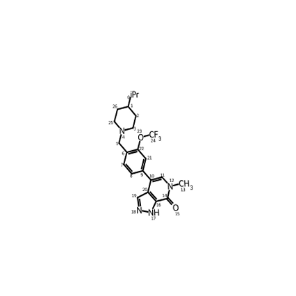 CC(C)C1CCN(Cc2ccc(-c3cn(C)c(=O)c4[nH]ncc34)cc2OC(F)(F)F)CC1